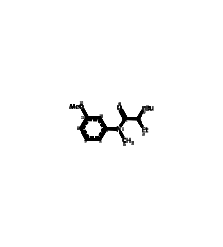 CCCCC(CC)C(=O)N(C)c1cccc(OC)c1